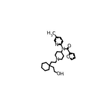 Cc1ccc(N(C(=O)c2ccco2)C2CCN(CCC3(CCO)CCCCC3)CC2)nc1